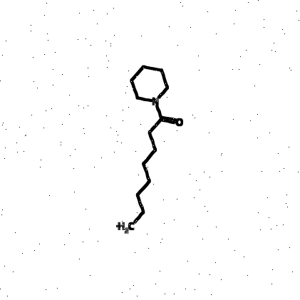 [CH2]CCCCCCC(=O)N1CCCCC1